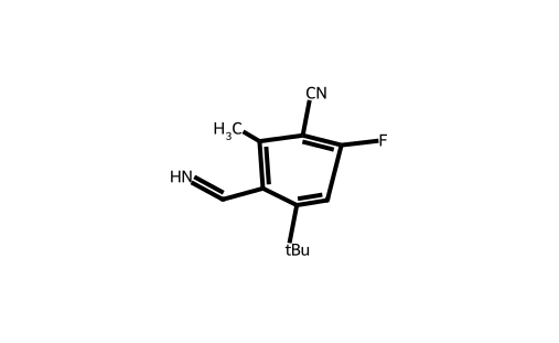 Cc1c(C#N)c(F)cc(C(C)(C)C)c1C=N